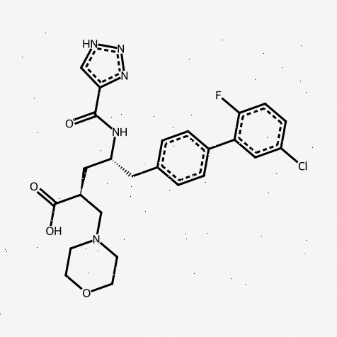 O=C(N[C@H](Cc1ccc(-c2cc(Cl)ccc2F)cc1)C[C@@H](CN1CCOCC1)C(=O)O)c1c[nH]nn1